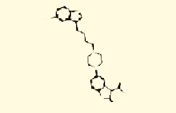 N#Cc1ccc2[nH]cc(CCCCN3CCN(c4ccc5c(c4)C(C(N)=O)C(=O)O5)CC3)c2c1